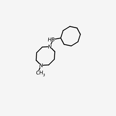 CN1CCCN(BC2CCCCCCC2)CCC1